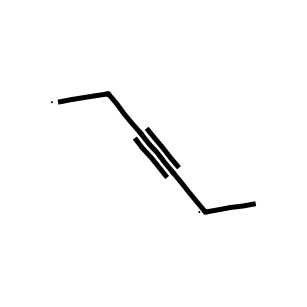 [CH2]CC#C[CH]C